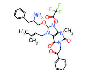 CC(C)=CCN1c2c(n(C)c(=O)n(CC(=O)c3ccccc3)c2=O)N(OC(=O)C(F)(F)F)C1OCC(N)Cc1ccccc1